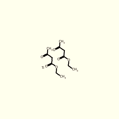 CCOC(=O)CC(C)=O.CCOC(=O)CC(C)=O.[Ti]